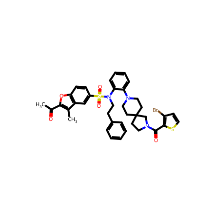 CC(=O)c1oc2ccc(S(=O)(=O)N(CCc3ccccc3)c3ccccc3N3CCC4(CCN(C(=O)c5sccc5Br)C4)CC3)cc2c1C